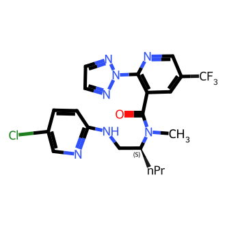 CCC[C@@H](CNc1ccc(Cl)cn1)N(C)C(=O)c1cc(C(F)(F)F)cnc1-n1nccn1